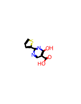 O=C(O)c1cnc(-c2cccs2)nc1O